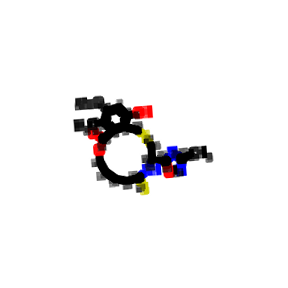 COc1cc(O)c2c(c1C)C(=O)OCCCCC(=S)N[C@H](c1nc(C)no1)CSC2